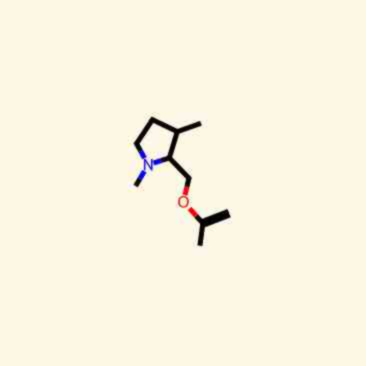 C=C(C)OCC1C(C)CCN1C